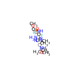 CCOc1ccc(F)c(S(=O)(=O)Nc2cc(F)c(-c3nn(C(C)C)c4c3c(N)ncc4[C@H]3CC[C@H](NCC(C)(C)OC)CC3)cc2F)c1